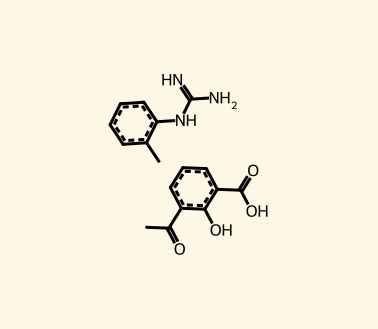 CC(=O)c1cccc(C(=O)O)c1O.Cc1ccccc1NC(=N)N